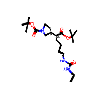 CCNC(=O)NCCCC[C@H](C(=O)OC(C)(C)C)[C@H]1CCN(C(=O)OC(C)(C)C)C1